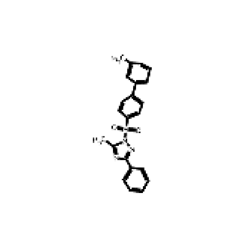 Cc1cccc(-c2ccc(S(=O)(=O)n3nc(-c4ccccc4)nc3C)cc2)c1